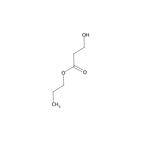 CCCOC(=O)CCO